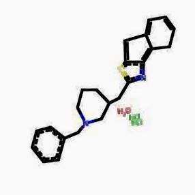 C1=CCC2=c3nc(CC4CCCN(Cc5ccccc5)C4)sc3=CC2=C1.Cl.Cl.O